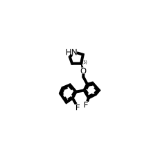 Fc1ccccc1-c1c(F)cccc1CO[C@H]1CCNC1